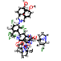 COc1ccc(CN(Cc2ccc(OC)cc2)c2c(F)c(C)c(C(F)(F)F)c(-c3nc4c5c(nc(OC[C@@]67CCCN6C[C@H](F)C7)nc5c3F)N3C[C@H]5CC[C@@H]([C@H]3[C@H](C)O4)N5C(=O)OC(C)(C)C)c2F)cc1